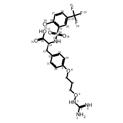 N=C(N)NOCCCOc1ccc(C[C@H](NS(=O)(=O)c2cc(C(F)(F)F)ccc2Cl)C(=O)O)cc1